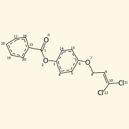 O=C(Oc1ccc(OCC=C(Cl)Cl)cc1)c1ccccc1